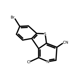 N#Cc1cnc(Cl)c2c1sc1cc(Br)ccc12